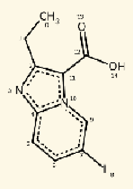 CCc1nc2ccc(I)cn2c1C(=O)O